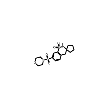 O=S1(=O)NC2(CCCC2)Cc2ccc(S(=O)(=O)N3CCOCC3)cc21